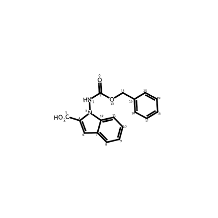 O=C(Nn1c(C(=O)O)cc2ccccc21)OCc1ccccc1